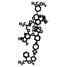 COC(C)COc1nc2[nH]cc(F)c2cc1Oc1cc(N2CCC3(CC2)CN([C@@H]2CCC[C@@H]2c2ccccc2C(C)C)C3)ccc1C(=O)NS(=O)(=O)c1cc2c(c([N+](=O)[O-])c1)N[C@@H](C1CCC(C)(C)CC1)CO2